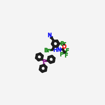 N#Cc1cc(Br)c(NC(=O)C(F)(F)F)c(CBr)c1.c1ccc(P(c2ccccc2)c2ccccc2)cc1